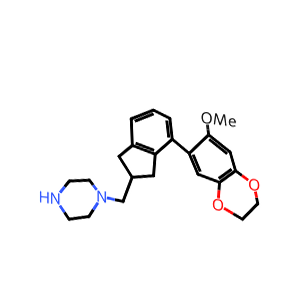 COc1cc2c(cc1-c1cccc3c1CC(CN1CCNCC1)C3)OCCO2